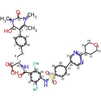 CC1=C(c2ccc(CC[C@H](NC(=O)c3cc(F)c(NS(=O)(=O)c4ccc(-c5cnc(C6CCOCC6)nc5)cc4)cc3F)C(=O)O)cc2)C(O)N(C)C(=O)N1C